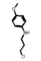 COc1ccc(NCCCCl)cc1